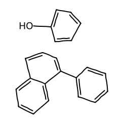 Oc1ccccc1.c1ccc(-c2cccc3ccccc23)cc1